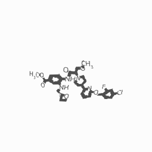 COCC(C(=O)Nc1ccc(C(=O)OC)cc1NC[C@@H]1CCO1)N1CCC(c2cccc(OCc3ccc(Cl)cc3F)n2)CC1